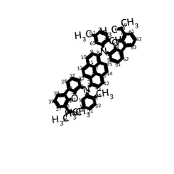 Cc1ccc(C)c(N(c2ccc3ccc4c(N(c5cc(C)ccc5C)c5cccc6c5oc5c(C(C)C)cccc56)ccc5ccc2c3c54)c2cccc3c2oc2c(C(C)C)cccc23)c1